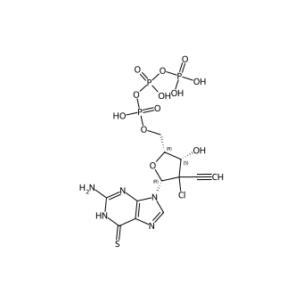 C#CC1(Cl)[C@@H](O)[C@@H](COP(=O)(O)OP(=O)(O)OP(=O)(O)O)O[C@H]1n1cnc2c(=S)[nH]c(N)nc21